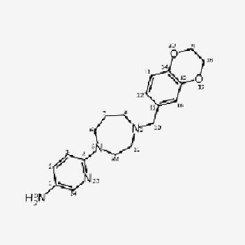 Nc1ccc(N2CCCN(Cc3ccc4c(c3)OCCO4)CC2)nc1